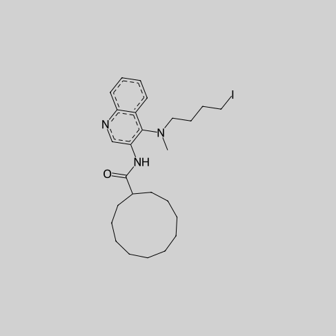 CN(CCCCI)c1c(NC(=O)C2CCCCCCCCCC2)cnc2ccccc12